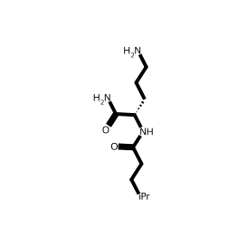 CC(C)CCC(=O)N[C@@H](CCCN)C(N)=O